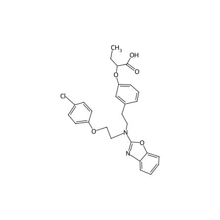 CCC(Oc1cccc(CCN(CCOc2ccc(Cl)cc2)c2nc3ccccc3o2)c1)C(=O)O